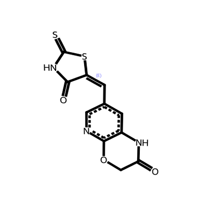 O=C1COc2ncc(/C=C3/SC(=S)NC3=O)cc2N1